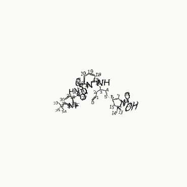 C=CCC(CC[C@@H]1CN(C(=O)O)C(C)(C)C1)Nc1cccc(S(=O)(=O)NC(=O)c2ccc(C(C)(C)C)nc2F)n1